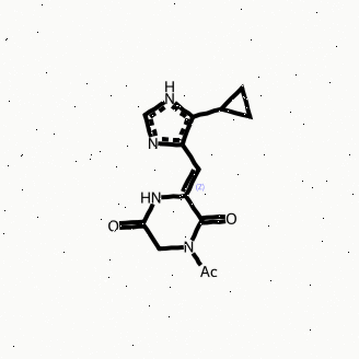 CC(=O)N1CC(=O)N/C(=C\c2nc[nH]c2C2CC2)C1=O